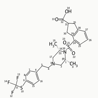 C[C@@H]1CN(CCc2ccc(SC(F)(F)F)cc2)C[C@H](C)N1S(=O)(=O)c1cccc2c1CC(C(=O)O)C2